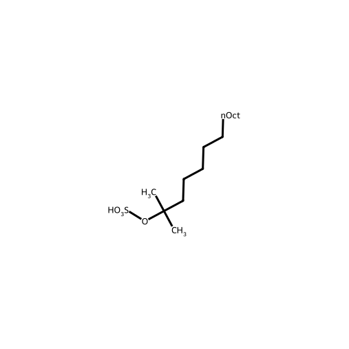 CCCCCCCCCCCCCC(C)(C)OS(=O)(=O)O